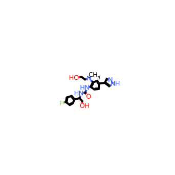 CN(CCO)c1cc(-c2cn[nH]c2)ccc1NC(=O)NC(CO)c1ccc(F)cc1